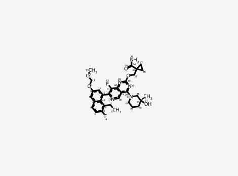 CCc1c(F)ccc2cc(OCOC)cc(-c3ncc4c(N5CCC[C@@](C)(O)C5)nc(OCC5(C(N)=O)CC5)nc4c3F)c12